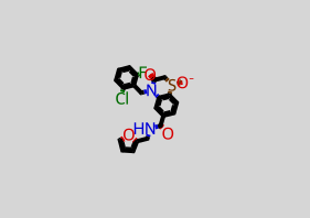 O=C(NCc1ccco1)c1ccc2c(c1)N(Cc1c(F)cccc1Cl)C(=O)C[S+]2[O-]